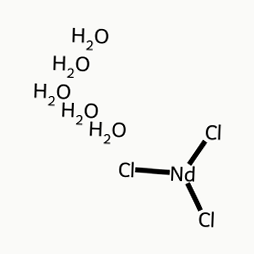 O.O.O.O.O.[Cl][Nd]([Cl])[Cl]